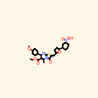 CCOC(=O)C1=C(C)n2c(s/c(=C\c3ccc(-c4cccc([N+](=O)O)c4)o3)c2=O)=NC1c1ccc(OC)cc1